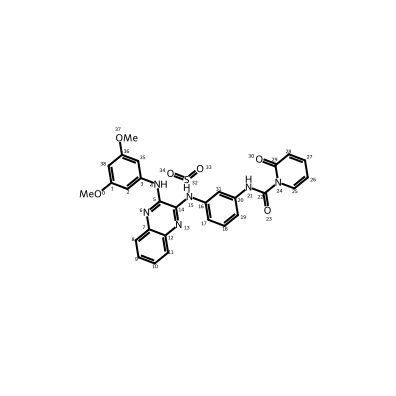 COc1cc(Nc2nc3ccccc3nc2N(c2cccc(NC(=O)n3ccccc3=O)c2)[SH](=O)=O)cc(OC)c1